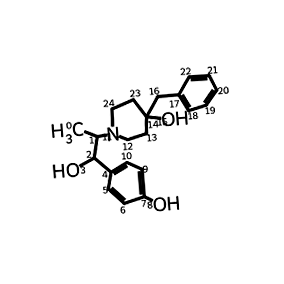 CC(C(O)c1ccc(O)cc1)N1CCC(O)(Cc2ccccc2)CC1